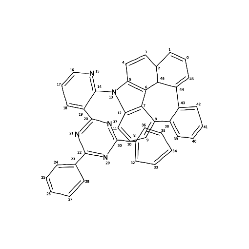 C1=CC2C=Cc3c4c5c(cccc5n3-c3ncccc3-c3nc(-c5ccccc5)nc(-c5ccccc5)n3)-c3ccccc3C(=C1)C42